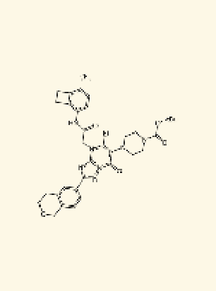 CCc1c(N2CCN(C(=O)OC(C)(C)C)CC2)c(=O)n2nc(-c3ccc4c(c3)CCOC4)nc2n1CC(=O)Nc1ccc(C(F)(F)F)c2c1CC2